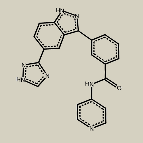 O=C(Nc1ccncc1)c1cccc(-c2n[nH]c3ccc(-c4nc[nH]n4)cc23)c1